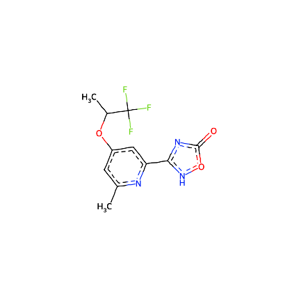 Cc1cc(OC(C)C(F)(F)F)cc(-c2nc(=O)o[nH]2)n1